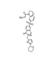 CC(C)(C)OC(=O)N1CCOc2ccc(S(=O)(=O)c3ccc4c(=O)n(Cc5ccn(C6CCCCO6)n5)ncc4c3)cc21